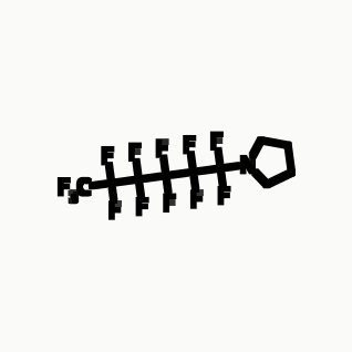 FC(F)(F)C(F)(F)C(F)(F)C(F)(F)C(F)(F)C(F)(F)N1CCCC1